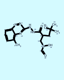 Cc1cccc2nnc(NNC(=O)C(CN(O)C=O)CC(C)(C)C)nc12